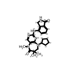 CN1C(=O)C(C)(C)CN(C2CCCC2)c2nc(Nc3cccc4c3CNC4=O)ncc21